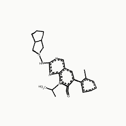 Cc1ccccc1-c1cc2cnc(NN3CC4CCCC4C3)nc2n(C(C)C(=O)O)c1=O